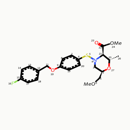 COC[C@H]1CN(Sc2ccc(OCc3ccc(F)cc3)cc2)[C@@H](C(=O)OC)[C@H](C)O1